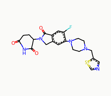 O=C1CCC(N2Cc3cc(N4CCN(Cc5cncs5)CC4)c(F)cc3C2=O)C(=O)N1